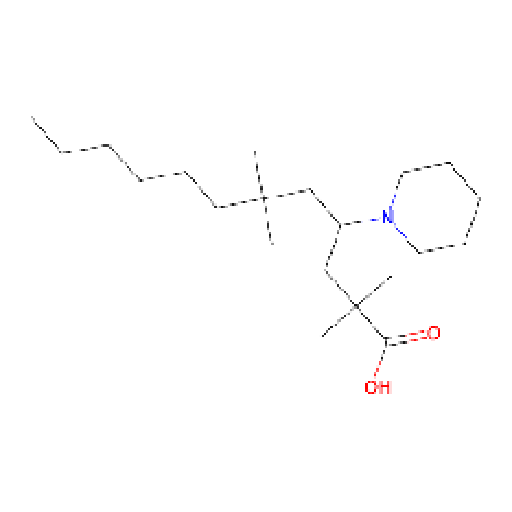 CCCCCCC(C)(C)CC(CC(C)(C)C(=O)O)N1CCCCC1